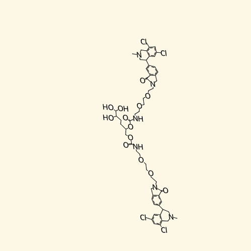 CN1Cc2c(Cl)cc(Cl)cc2C(c2ccc3c(c2)C(=O)N(CCOCCOCCNC(=O)OCC(CCC(O)C(O)O)OC(=O)NCCOCCOCCN2Cc4ccc(C5CN(C)Cc6c(Cl)cc(Cl)cc65)cc4C2=O)C3)C1